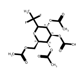 CC(=O)OC[C@H]1SC(C(C)(F)F)[C@H](OC(C)=O)[C@@H](OC(C)=O)[C@@H]1OC(C)=O